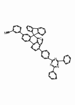 N#Cc1cccc(-c2ccc3c(c2)C2(c4ccccc4-c4ccccc42)c2cccc4c(-c5ccc(-c6nc(-c7ccccc7)nc(-c7ccccc7)n6)cc5)ccc-3c24)c1